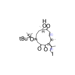 C/C(=C\I)[C@H]1C(=O)C(=O)C[C@H](O[Si](C)(C)C(C)(C)C)CC[C@@](C)(O)C(=O)/C=C/[C@@H]1C